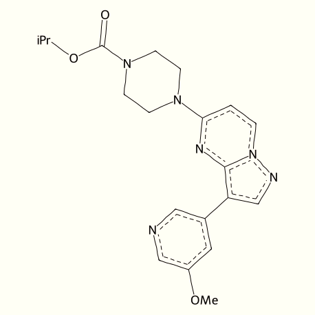 COc1cncc(-c2cnn3ccc(N4CCN(C(=O)OC(C)C)CC4)nc23)c1